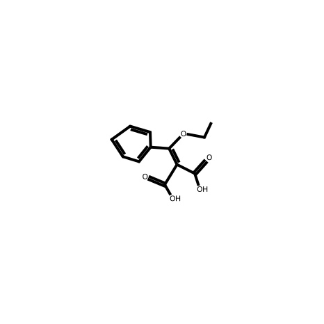 CCOC(=C(C(=O)O)C(=O)O)c1ccccc1